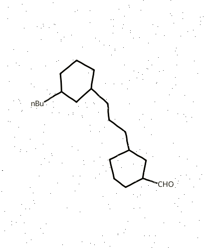 CCCCC1CCCC(CCCC2CCCC(C=O)C2)C1